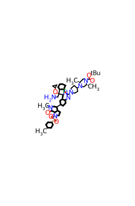 Cc1ccc(S(=O)(=O)n2ccc3c(-c4ccc5nc(N6CCC(N7C[C@@H](C)N(C(=O)OC(C)(C)C)C[C@@H]7C)CC6)nc(C(CN)(OC6CC6)c6ccccc6F)c5c4)cn(C)c(=O)c32)cc1